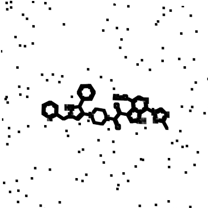 COc1cnc(-n2cnc(C)n2)c2[nH]cc(C(=O)C(=O)N3CCN(C4=CN(Cc5ccccn5)NC4c4ccccc4)CC3)c12